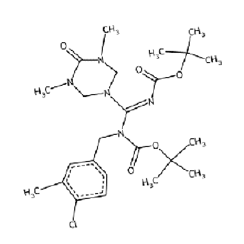 Cc1cc(CN(C(=O)OC(C)(C)C)/C(=N/C(=O)OC(C)(C)C)N2CN(C)C(=O)N(C)C2)ccc1Cl